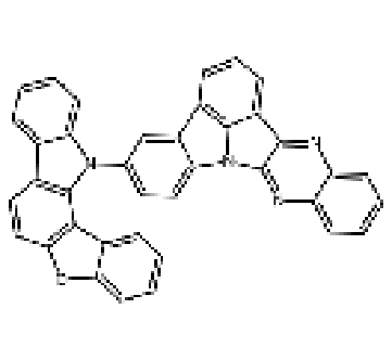 c1ccc2nc3c(nc2c1)c1cccc2c4cc(-n5c6ccccc6c6ccc7oc8ccccc8c7c65)ccc4n3c21